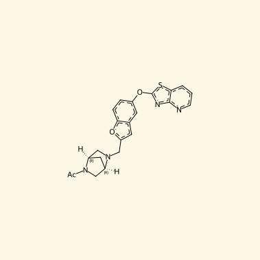 CC(=O)N1C[C@H]2C[C@@H]1CN2Cc1cc2cc(Oc3nc4ncccc4s3)ccc2o1